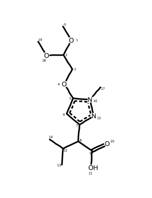 COC(COc1cc(C(C(=O)O)C(C)C)nn1C)OC